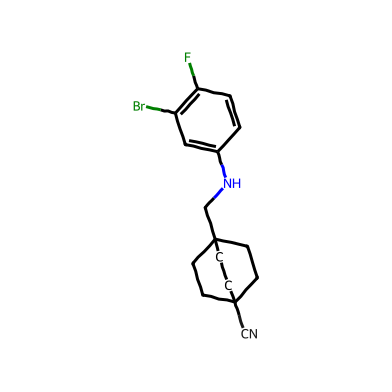 N#CC12CCC(CNc3ccc(F)c(Br)c3)(CC1)CC2